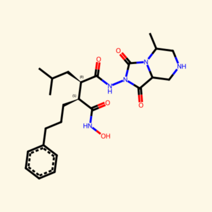 CC(C)C[C@@H](C(=O)NN1C(=O)C2CNCC(C)N2C1=O)[C@H](CCCc1ccccc1)C(=O)NO